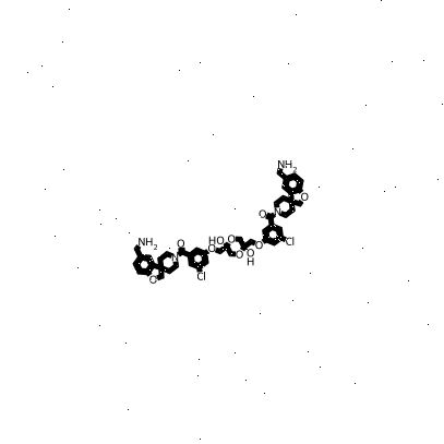 NCc1ccc2c(c1)C1(CCN(C(=O)c3cc(Cl)cc(OC[C@@]4(O)CO[C@](O)(COc5cc(Cl)cc(C(=O)N6CCC7(CC6)COc6ccc(CN)cc67)c5)CO4)c3)CC1)CO2